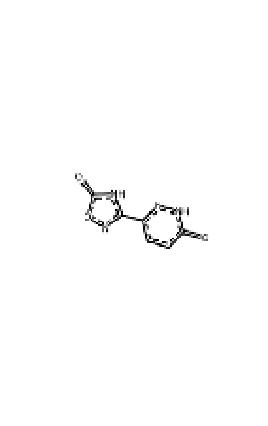 O=c1ccc(-c2noc(=O)[nH]2)n[nH]1